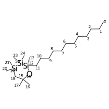 CCCCCCCCCCCC[Si]1(C)OC(C)(C)C[Si](C)(C)[Si]1(C)C